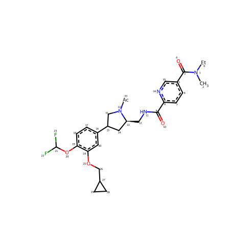 CCN(C)C(=O)c1ccc(C(=O)NC[C@H]2CC(c3ccc(OC(F)F)c(OCC4CC4)c3)CN2C(C)=O)nc1